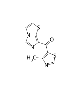 Cc1ncsc1C(=O)c1ncn2ccsc12